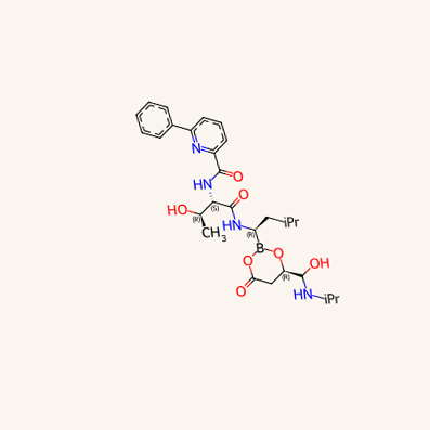 CC(C)C[C@H](NC(=O)[C@@H](NC(=O)c1cccc(-c2ccccc2)n1)[C@@H](C)O)B1OC(=O)C[C@H](C(O)NC(C)C)O1